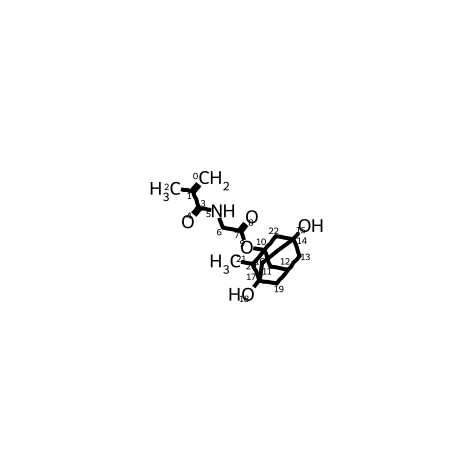 C=C(C)C(=O)NCC(=O)OC12CC3CC(O)(CC(O)(C3)C1C)C2